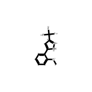 COc1ccccc1-c1cc(C(F)(F)F)n[nH]1